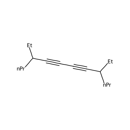 CCCC(C#CC#CC(CC)CCC)CC